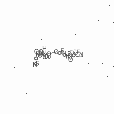 Cc1ncsc1-c1ccc(CNC(=O)C2CCCN2C(=O)C(NC(=O)COCCCCOc2ccc(-c3ccc(N4C(=S)N(c5ccc(C#N)c(C(F)(F)F)c5F)C(=O)C4(C)C)cn3)c(F)c2)C(C)(C)C)cc1